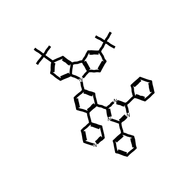 CC(C)(C)c1ccc2c(c1)c1cc(C(C)(C)C)ccc1n2-c1ccc(-c2ccncc2)c(-c2nc(-c3ccccc3)nc(-c3ccccc3)n2)c1